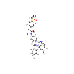 CCS(=O)(=O)c1ccc(CC(=O)Nc2ccc(-c3nc4ccc(C)cc4n3[C@H](C)c3ccc(C)cc3)cc2)cc1